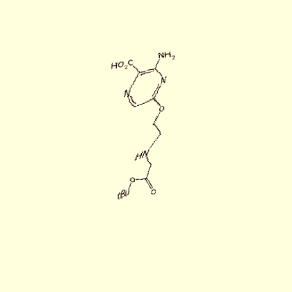 CC(C)(C)OC(=O)CNCCOc1cnc(C(=O)O)c(N)n1